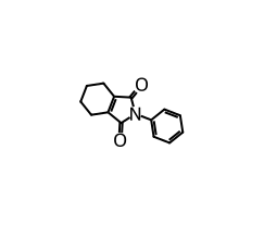 O=C1C2=C(CCCC2)C(=O)N1c1ccccc1